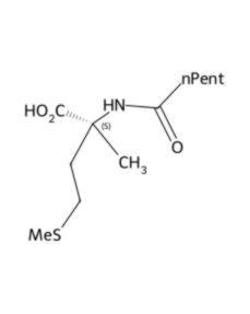 CCCCCC(=O)N[C@@](C)(CCSC)C(=O)O